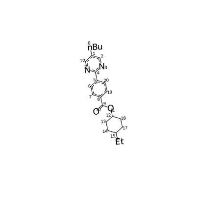 CCCCc1cnc(-c2ccc(C(=O)OC3CCC(CC)CC3)cc2)nc1